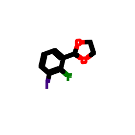 Fc1c(I)cccc1C1OCCO1